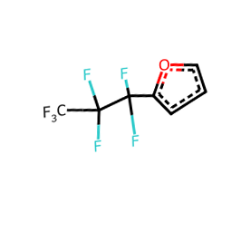 FC(F)(F)C(F)(F)C(F)(F)c1ccco1